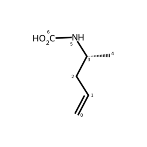 C=CC[C@@H](C)NC(=O)O